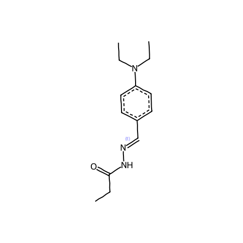 CCC(=O)N/N=C/c1ccc(N(CC)CC)cc1